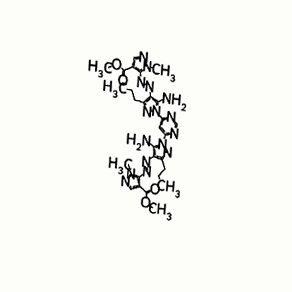 CCCc1nn(-c2cc(-n3nc(CCC)c(/N=N/c4c(C(=O)OC)cnn4C)c3N)ncn2)c(N)c1/N=N/c1c(C(=O)OC)cnn1C